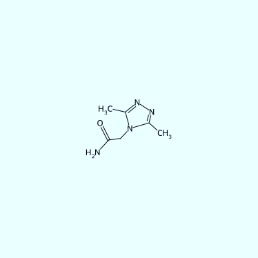 Cc1nnc(C)n1CC(N)=O